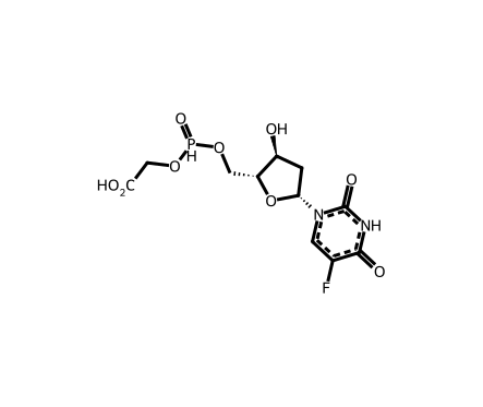 O=C(O)CO[PH](=O)OC[C@H]1O[C@@H](n2cc(F)c(=O)[nH]c2=O)C[C@@H]1O